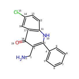 NCc1c(-c2ccccc2)[nH]c2ccc(Cl)cc2c1=O